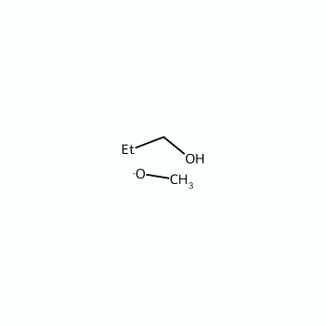 C[O].[CH2]CCO